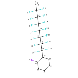 FC(F)(F)C(F)(F)C(F)(F)C(F)(F)C(F)(F)C(F)(F)C(F)(F)C(F)(F)C1CCCCC1I